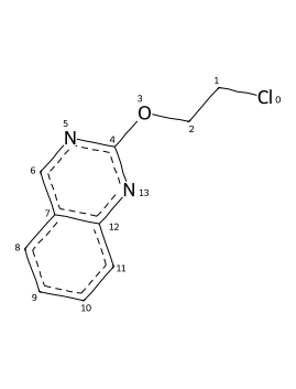 ClCCOc1ncc2ccccc2n1